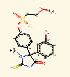 COCCS(=O)(=O)Oc1ccc(C2(c3cccc(Br)c3)C(=O)NC(=S)N2C)cc1